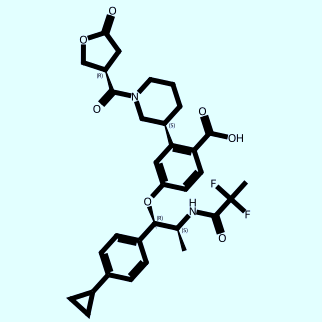 C[C@H](NC(=O)C(C)(F)F)[C@H](Oc1ccc(C(=O)O)c([C@@H]2CCCN(C(=O)[C@H]3COC(=O)C3)C2)c1)c1ccc(C2CC2)cc1